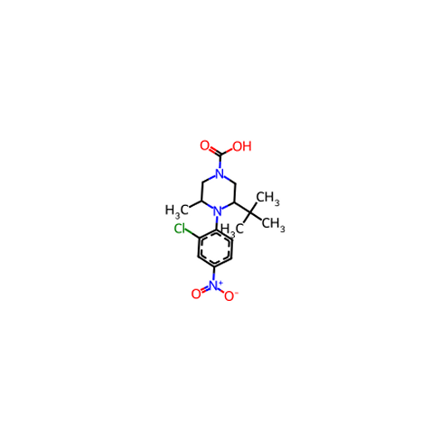 CC1CN(C(=O)O)CC(C(C)(C)C)N1c1ccc([N+](=O)[O-])cc1Cl